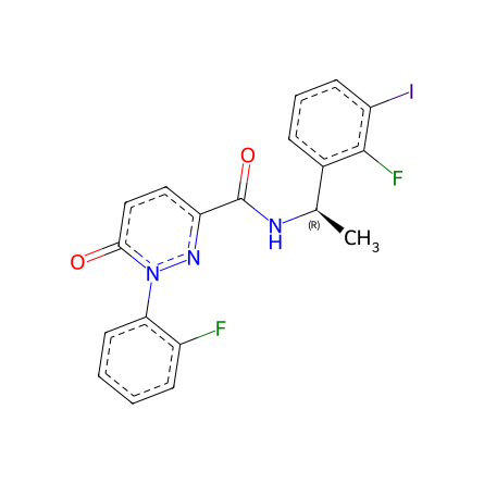 C[C@@H](NC(=O)c1ccc(=O)n(-c2ccccc2F)n1)c1cccc(I)c1F